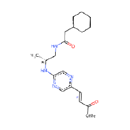 COC(=O)/C=C/c1cnc(N[C@H](C)CNC(=O)CC2CCCCC2)cn1